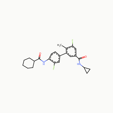 Cc1c(F)cc(C(=O)NC2CC2)cc1-c1ccc(NC(=O)C2CCCCC2)c(F)c1